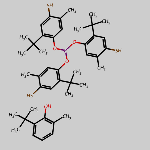 Cc1cc(OP(Oc2cc(C)c(S)cc2C(C)(C)C)Oc2cc(C)c(S)cc2C(C)(C)C)c(C(C)(C)C)cc1S.Cc1cccc(C(C)(C)C)c1O